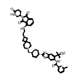 Cc1cccc(C(=O)Nc2cc3sc([C@H]4CC[C@H](CN5CCC6(CC5)CC(CCNc5cccc7c5C(=O)N(C5CCC(=O)NC5)C7=O)C6)CC4)nc3cc2C(C)(C)O)n1